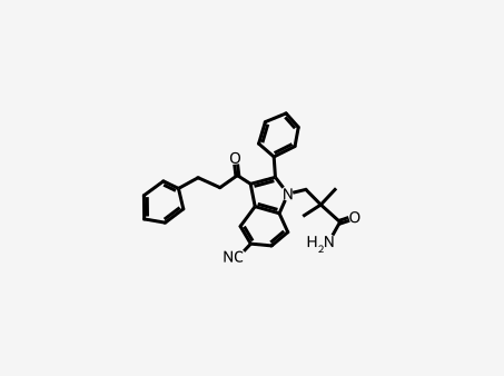 CC(C)(Cn1c(-c2ccccc2)c(C(=O)CCc2ccccc2)c2cc(C#N)ccc21)C(N)=O